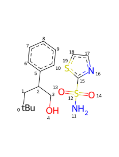 CC(C)(C)CC(CO)c1ccccc1.NS(=O)(=O)c1nccs1